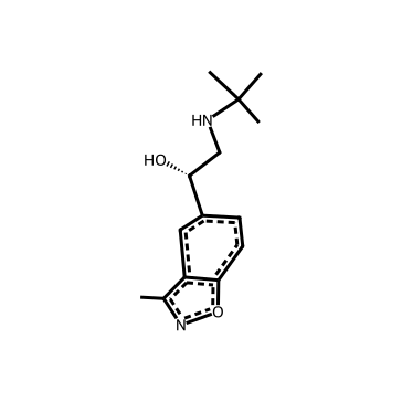 Cc1noc2ccc([C@H](O)CNC(C)(C)C)cc12